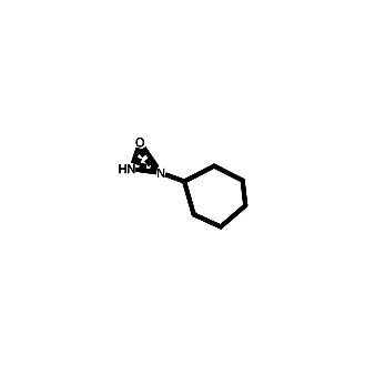 C1CCC(n2[nH]o2)CC1